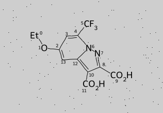 CCOc1cc(C(F)(F)F)n2nc(C(=O)O)c(C(=O)O)c2c1